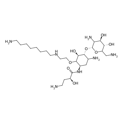 NCCCCCCCCNCCOC1[C@@H](O)[C@H](O[C@H]2OC(CN)[C@@H](O)[C@H](O)C2N)C(N)C[C@H]1NC(=O)[C@@H](O)CCN